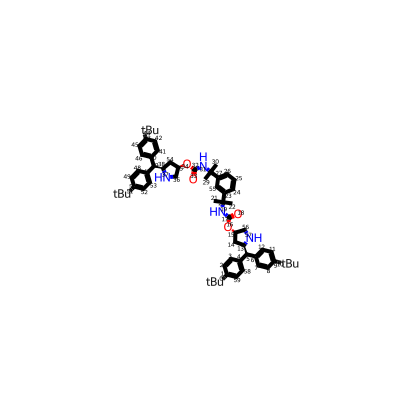 CC(C)(C)c1ccc(C(c2ccc(C(C)(C)C)cc2)[C@H]2C[C@@H](OC(=O)NC(C)(C)c3cccc(C(C)(C)NC(=O)O[C@H]4CN[C@@H](C(c5ccc(C(C)(C)C)cc5)c5ccc(C(C)(C)C)cc5)C4)c3)CN2)cc1